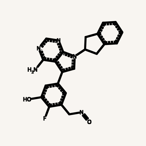 Nc1ncnc2c1c(-c1cc(O)c(F)c(CN=O)c1)cn2C1Cc2ccccc2C1